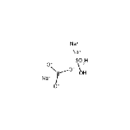 O=S(=O)(O)O.[Na+].[Na+].[Na+].[O-]B([O-])[O-]